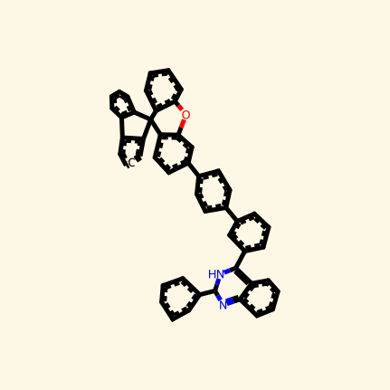 c1ccc(C2N=c3ccccc3=C(c3cccc(-c4ccc(-c5ccc6c(c5)Oc5ccccc5C65c6ccccc6-c6ccccc65)cc4)c3)N2)cc1